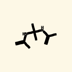 C=C(C)NC(C)(C)NC(=C)C